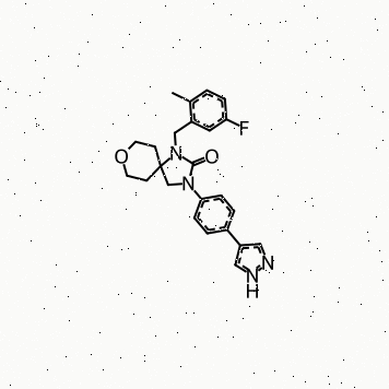 Cc1ccc(F)cc1CN1C(=O)N(c2ccc(-c3cn[nH]c3)cc2)CC12CCOCC2